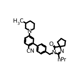 CCCC1=NC2(CCCC2)C(=O)N1Cc1ccc(-c2cc(N3CCCC(C)C3)ccc2C#N)cc1